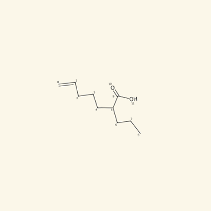 C=CCCCC(CCC)C(=O)O